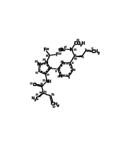 C=CC[C@@H](c1ccnc(-c2c(NC(=O)[C@H](C)C=C)cnn2C(F)F)c1)N(C(=O)O)C(C)(C)C